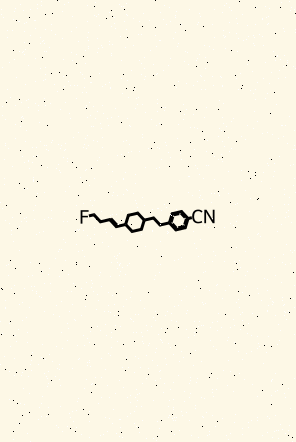 N#Cc1ccc(CCC2CCC(C=CCCF)CC2)cc1